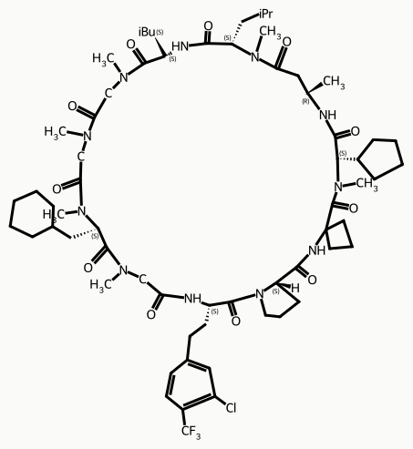 CC[C@H](C)[C@@H]1NC(=O)[C@H](CC(C)C)N(C)C(=O)C[C@@H](C)NC(=O)[C@H](C2CCCC2)N(C)C(=O)C2(CCC2)NC(=O)[C@@H]2CCCN2C(=O)[C@H](CCc2ccc(C(F)(F)F)c(Cl)c2)NC(=O)CN(C)C(=O)[C@H](CC2CCCCC2)N(C)C(=O)CN(C)C(=O)CN(C)C1=O